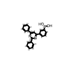 OB(O)c1cccc(-c2cc(-c3ccccc3)nc(-c3ccccc3)n2)c1